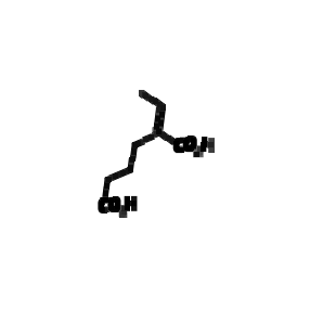 C/C=C(\CCCC(=O)O)C(=O)O